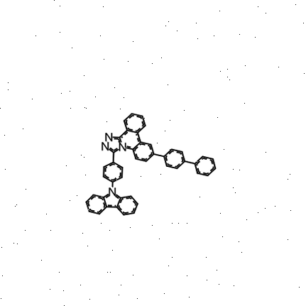 c1ccc(-c2ccc(-c3ccc4c(c3)c3ccccc3c3nnc(-c5ccc(-n6c7ccccc7c7ccccc76)cc5)n43)cc2)cc1